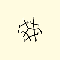 FC(F)(F)C1C(F)(S)C(F)(F)C(F)(F)C1(CI)C(F)(F)F